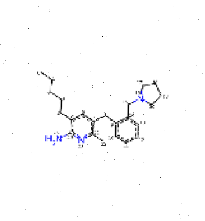 CCCCCc1cc(Cc2ccccc2CN2CCCC2)c(C)nc1N